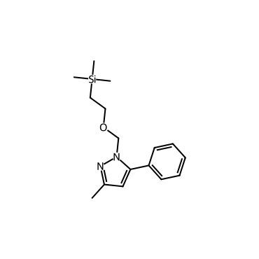 Cc1cc(-c2ccccc2)n(COCC[Si](C)(C)C)n1